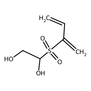 C=CC(=C)S(=O)(=O)C(O)CO